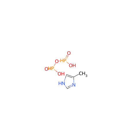 Cc1c[nH]cn1.O=[PH](O)O[PH](=O)O